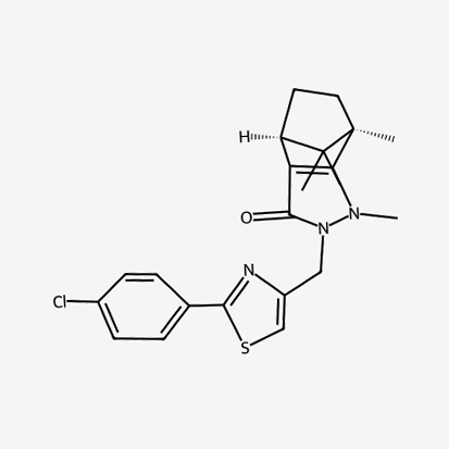 Cn1c2c(c(=O)n1Cc1csc(-c3ccc(Cl)cc3)n1)[C@H]1CC[C@]2(C)C1(C)C